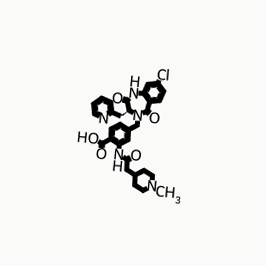 CN1CCC(CC(=O)Nc2cc(CN3C(=O)c4ccc(Cl)cc4NC(=O)[C@H]3Cc3ccccn3)ccc2C(=O)O)CC1